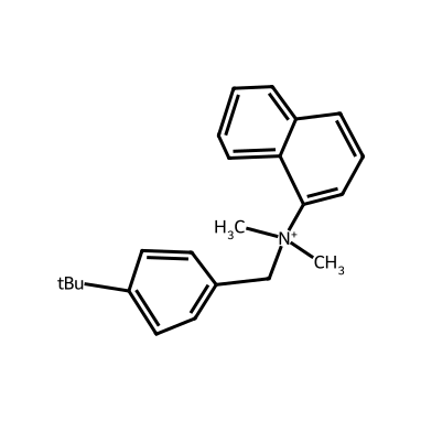 CC(C)(C)c1ccc(C[N+](C)(C)c2cccc3ccccc23)cc1